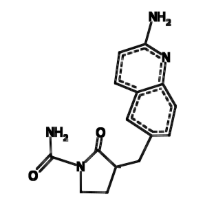 NC(=O)N1CC[C](Cc2ccc3nc(N)ccc3c2)C1=O